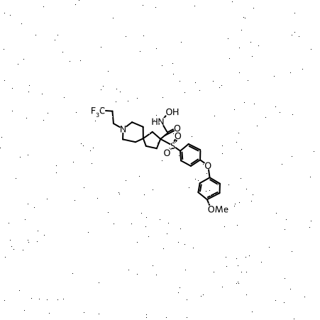 COc1ccc(Oc2ccc(S(=O)(=O)C3(C(=O)NO)CCC4(CCN(CCC(F)(F)F)CC4)C3)cc2)cc1